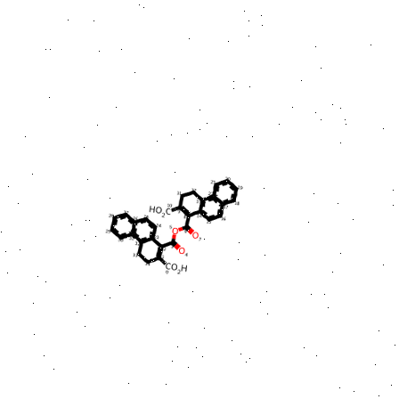 O=C(O)C1=C(C(=O)OC(=O)C2=C(C(=O)O)CCc3c2ccc2ccccc32)c2ccc3ccccc3c2CC1